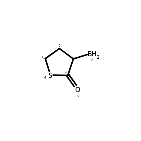 BC1CCSC1=O